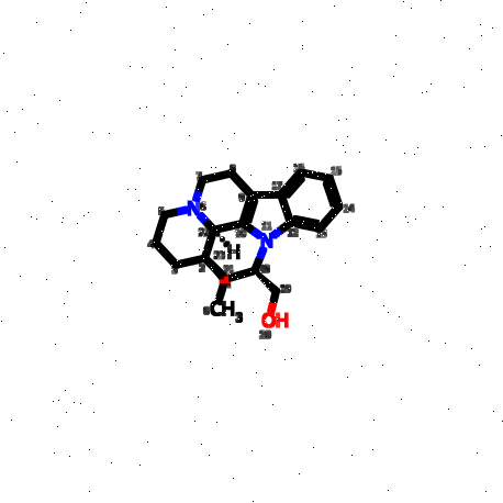 CC[C@]12CCCN3CCc4c(n(c5ccccc45)[C@@H](CO)C1)[C@H]32